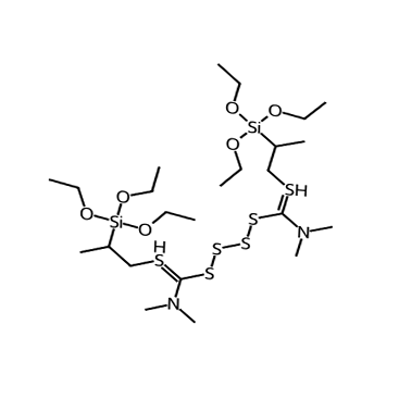 CCO[Si](OCC)(OCC)C(C)C[SH]=C(SSSSC(=[SH]CC(C)[Si](OCC)(OCC)OCC)N(C)C)N(C)C